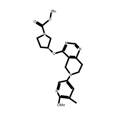 COc1ncc(N2CCc3ncnc(O[C@H]4CCN(C(=O)OC(C)(C)C)C4)c3C2)cc1C